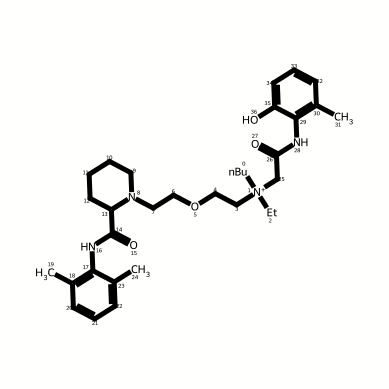 CCCC[N+](CC)(CCOCCN1CCCCC1C(=O)Nc1c(C)cccc1C)CC(=O)Nc1c(C)cccc1O